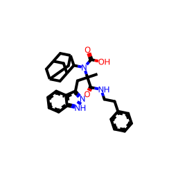 CC(Cc1n[nH]c2ccccc12)(C(=O)NCCc1ccccc1)N(C(=O)O)C1C2CC3CC(C2)CC1C3